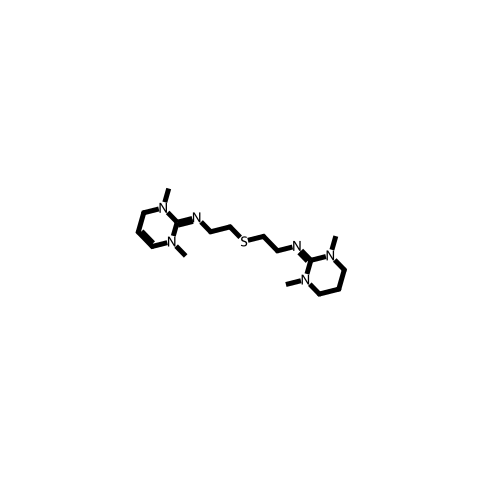 CN1C=CCN(C)C1=NCCSCCN=C1N(C)CCCN1C